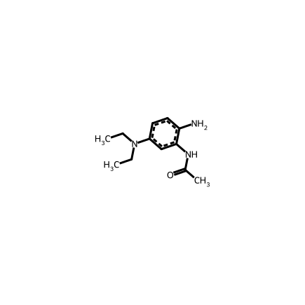 CCN(CC)c1ccc(N)c(NC(C)=O)c1